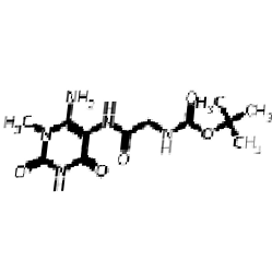 Cn1c(N)c(NC(=O)CNC(=O)OC(C)(C)C)c(=O)[nH]c1=O